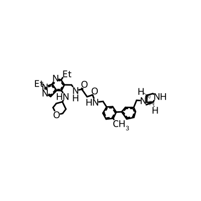 CCc1nc2c(cnn2CC)c(NC2CCOCC2)c1CNC(=O)CC(=O)NCc1ccc(C)c(-c2cccc(CN3C[C@H]4C[C@@H]3CN4)c2)c1